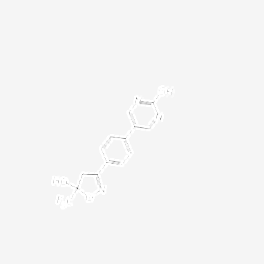 Oc1ncc(-c2ccc(C3=NOC(O)(C(F)(F)F)C3)cc2)cn1